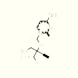 C#CC(CO)(O[C@H](C)n1ccc(N)nc1=O)[C@@H](O)F